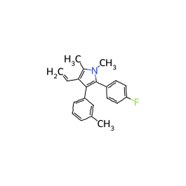 C=Cc1c(-c2cccc(C)c2)c(-c2ccc(F)cc2)n(C)c1C